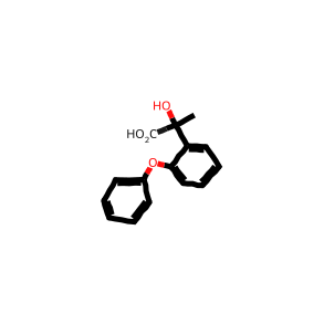 CC(O)(C(=O)O)c1ccccc1Oc1ccccc1